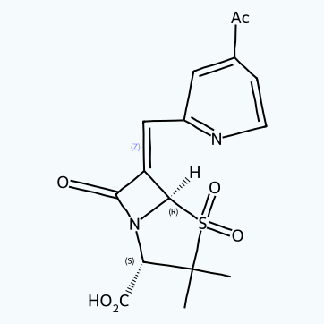 CC(=O)c1ccnc(/C=C2/C(=O)N3[C@@H](C(=O)O)C(C)(C)S(=O)(=O)[C@H]23)c1